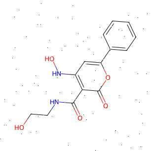 O=C(NCCO)c1c(NO)cc(-c2ccccc2)oc1=O